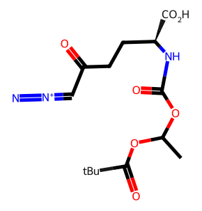 CC(OC(=O)N[C@@H](CCC(=O)C=[N+]=[N-])C(=O)O)OC(=O)C(C)(C)C